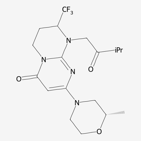 CC(C)C(=O)CN1c2nc(N3CCO[C@@H](C)C3)cc(=O)n2CCC1C(F)(F)F